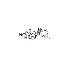 CC(N)CCc1nc(-c2ccc(CNc3ncc(C#N)cc3C(=O)N[C@@H](C)c3ccc(F)cc3)cc2)cnc1N